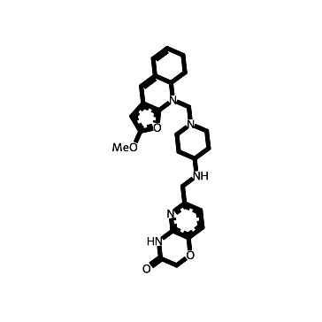 COc1cc2c(o1)N(CN1CCC(NCc3ccc4c(n3)NC(=O)CO4)CC1)C1CCC=CC1=C2